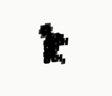 CC[C@]1(C2(O)CC2)O[C@@H]2[C@@H](Oc3nc(=O)c(C)cn32)C1OCc1ccccc1